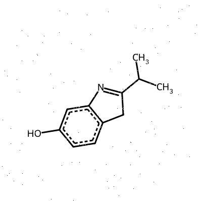 CC(C)C1=Nc2cc(O)ccc2C1